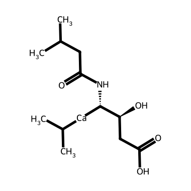 CC(C)CC(=O)N[C@@H]([Ca][CH](C)C)[C@@H](O)CC(=O)O